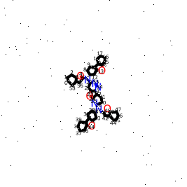 c1ccc2oc(N(c3ccc4c(c3)oc3ccccc34)c3cc4oc5nc(N(c6ccc7c(c6)oc6ccccc67)c6cc7ccccc7o6)ccc5c4nn3)cc2c1